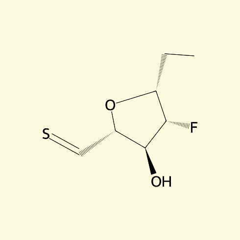 CC[C@H]1O[C@@H](C=S)[C@H](O)[C@H]1F